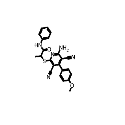 COc1ccc(-c2c(C#N)c(N)nc(SC(C)C(=O)Nc3ccccc3)c2C#N)cc1